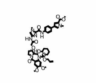 C=CCOC(=O)N1c2cc(OC)c(OC)cc2C(=O)N2CC[C@H](OCC(=O)Nc3cn(C)c(C(=O)Nc4ccc(-c5cc(C(=O)OC)n(C)c5)cc4)n3)[C@H]2C1OC1CCCCO1